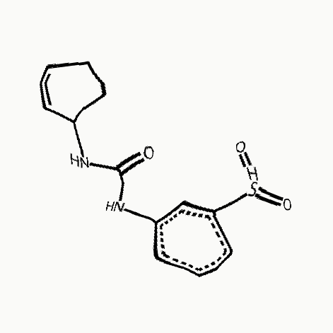 O=C(Nc1cccc([SH](=O)=O)c1)NC1C=CCC1